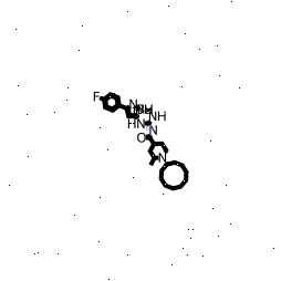 CC1CC(C(=O)/N=C(\Nc2cc(-c3ccc(F)cc3)n[nH]2)NC(C)(C)C)CCN1C1CCCCCCCCC1